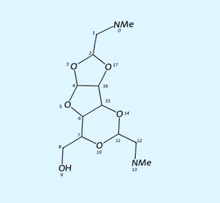 CNCC1OC2OC3C(CO)OC(CNC)OC3C2O1